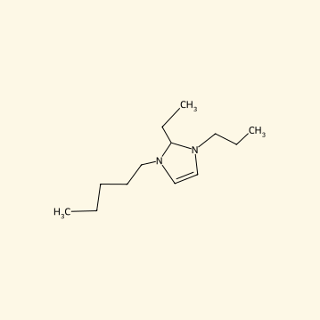 CCCCCN1C=CN(CCC)C1CC